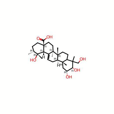 C[C@@H]1CC[C@]2(C(=O)O)CC[C@]3(C)C(=CC[C@@H]4[C@@]5(C)C[C@@H](O)[C@@H](O)C(C)(CO)C5CC[C@]43C)[C@@H]2[C@]1(C)O